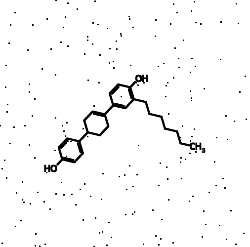 CCCCCCCc1cc(C2=CCC(c3ccc(O)cc3)CC2)ccc1O